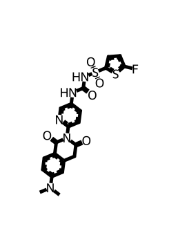 CN(C)c1ccc2c(c1)CC(=O)N(c1ccc(NC(=O)NS(=O)(=O)c3ccc(F)s3)cn1)C2=O